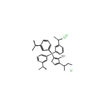 CCC(C)C1=CCC([Si](c2cccc(C(C)C)c2)(c2cccc(C(C)C)c2)c2cccc(C(C)C)c2)=[C]1[Ti+3].[Cl-].[Cl-].[Cl-]